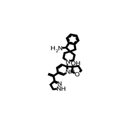 C=C(C1=CN[C@@](N2CCC3(CC2)Cc2ccccc2C3N)(C2(O)CCOC2)C=C1)C1=NNCC1